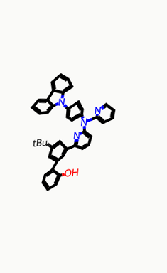 CC(C)(C)c1cc(-c2cccc(N(c3ccc(-n4c5ccccc5c5ccccc54)cc3)c3ccccn3)n2)cc(-c2ccccc2O)c1